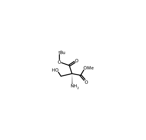 COC(=O)[C@@](N)(CO)C(=O)OC(C)(C)C